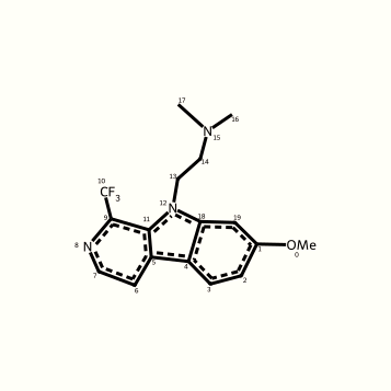 COc1ccc2c3ccnc(C(F)(F)F)c3n(CCN(C)C)c2c1